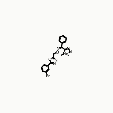 Cn1nnnc1/C(=N\OCc1nnc(-c2cccc(Br)c2)o1)c1ccccc1